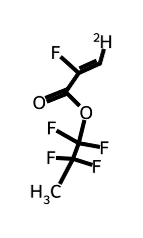 [2H]/C=C(\F)C(=O)OC(F)(F)C(C)(F)F